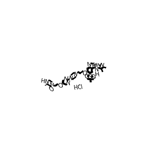 Cc1n[nH]c(Nc2ncnc3cc(OCCCN4CCN(c5ncc(OCCN6CCN[C@H](C)C6=O)cn5)CC4)c(S(=O)(=O)C(C)(C)C)cc23)c1C.Cl